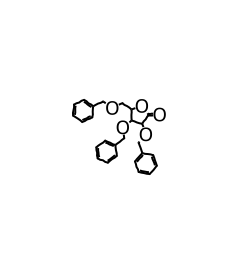 O=C1OC(COCc2ccccc2)C(OCc2ccccc2)C1OCc1ccccc1